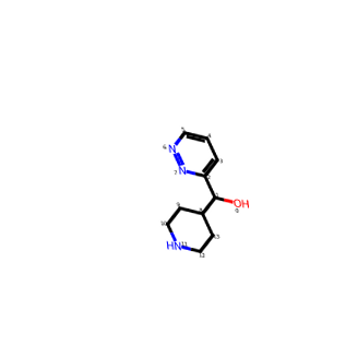 OC(c1cccnn1)C1CCNCC1